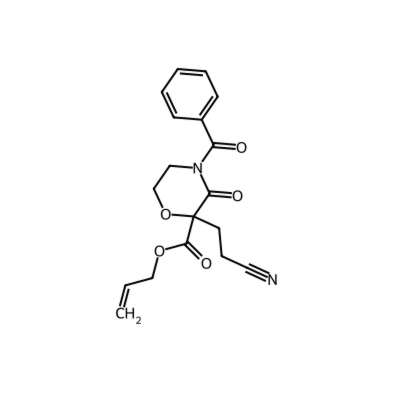 C=CCOC(=O)C1(CCC#N)OCCN(C(=O)c2ccccc2)C1=O